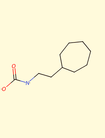 [O]C(=O)[N]CCC1CCCCCC1